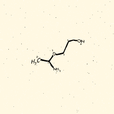 CC(N)OCCO